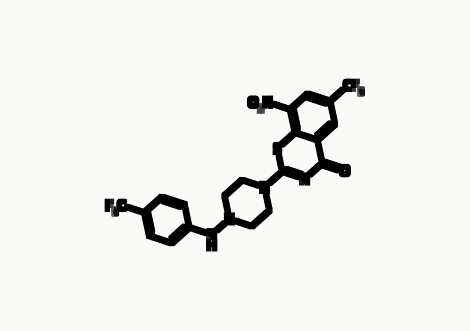 O=c1nc(N2CCN(Nc3ccc(C(F)(F)F)cc3)CC2)sc2c([N+](=O)[O-])cc(C(F)(F)F)cc12